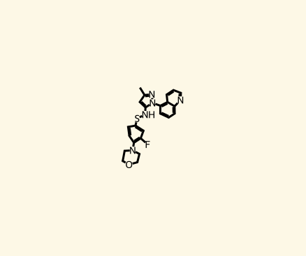 Cc1cc(NSc2ccc(N3CCOCC3)c(F)c2)n(-c2cccc3ncccc23)n1